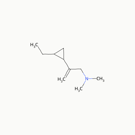 C=C(CN(C)C)C1CC1CC